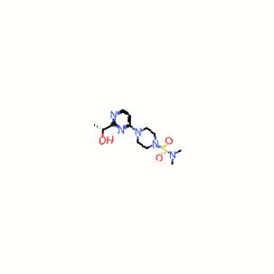 C[C@@H](O)c1nccc(N2CCN(S(=O)(=O)N(C)C)CC2)n1